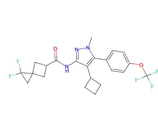 Cn1nc(NC(=O)C2CC3(C2)CC3(F)F)c(C2CCC2)c1-c1ccc(OC(F)(F)F)cc1